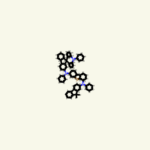 CC1(C)c2ccccc2-c2ccc(N(c3ccccc3)c3cccc4c3sc3cc(N(c5ccccc5)c5ccc6c(c5)C5(c7ccccc7-6)c6ccccc6N(c6ccccc6)c6ccccc65)ccc34)cc21